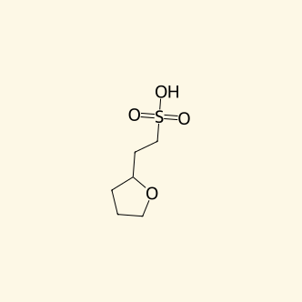 O=S(=O)(O)CCC1CCCO1